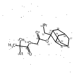 CCC(C)(C)C(=O)OCC(=O)OC1(CC(C)C)C2CC3CC(C2)CC1C3